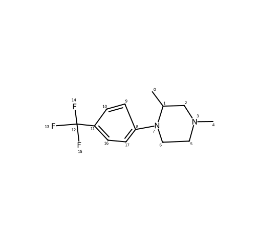 CC1CN(C)CCN1c1ccc(C(F)(F)F)cc1